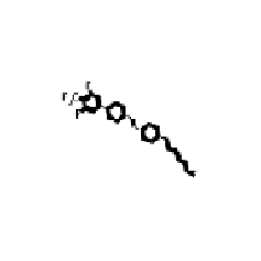 FCCC=CCC[C@H]1CC[C@H](CC[C@H]2CC[C@H](c3cc(F)c(C(F)(F)F)c(F)c3)CC2)CC1